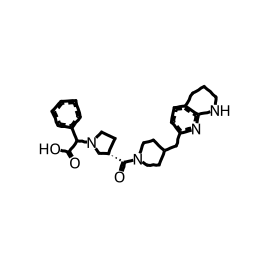 O=C(O)C(c1ccccc1)N1CC[C@H](C(=O)N2CCC(Cc3ccc4c(n3)NCCC4)CC2)C1